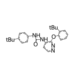 CC(C)(C)c1ccc(NC(=O)Nc2ccnnc2Oc2ccccc2C(C)(C)C)cc1